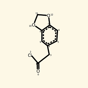 O=C(Cl)Cc1ccc2c(c1)OCO2